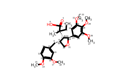 CCC(C)(C(=O)O)[C@H]1[C@@H](Cc2ccc(OC)c(OC)c2)CO[C@@H]1c1cc(OC)c(OC)c(OC)c1